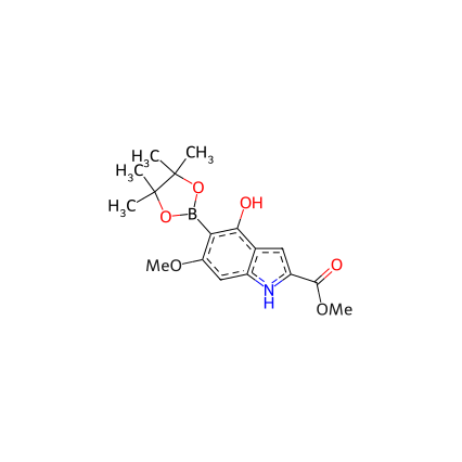 COC(=O)c1cc2c(O)c(B3OC(C)(C)C(C)(C)O3)c(OC)cc2[nH]1